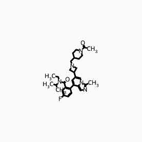 CCN(C(=O)c1cc(F)ccc1-c1cc(C2CN(CC3CCN(C(C)=O)CC3)C2)cn2c(C)ncc12)C(C)C